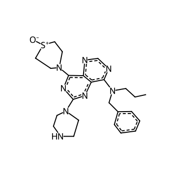 CCCN(Cc1ccccc1)c1ncnc2c(N3CC[S+]([O-])CC3)nc(N3CCNCC3)nc12